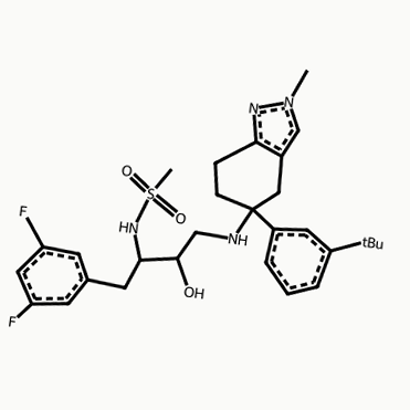 Cn1cc2c(n1)CCC(NCC(O)C(Cc1cc(F)cc(F)c1)NS(C)(=O)=O)(c1cccc(C(C)(C)C)c1)C2